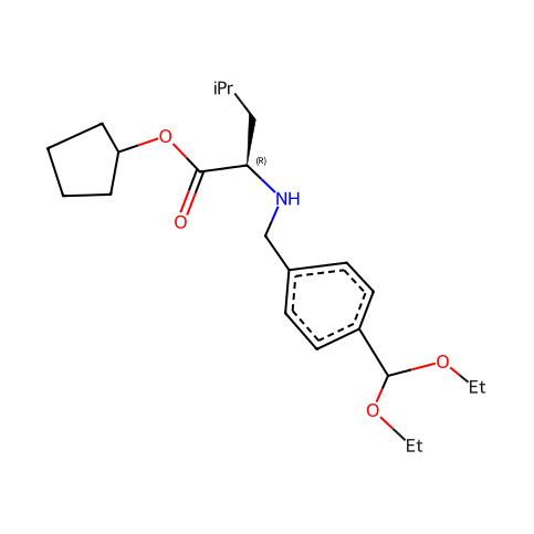 CCOC(OCC)c1ccc(CN[C@H](CC(C)C)C(=O)OC2CCCC2)cc1